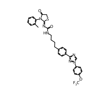 Cc1ccccc1N1C(=O)CSC1=NC(=O)NCCCCc1ccc(-c2ncn(-c3ccc(OC(F)(F)F)cc3)n2)cc1